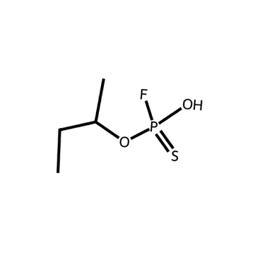 CCC(C)OP(O)(F)=S